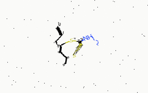 C=CC[C@H](CCC)SC(N)=S